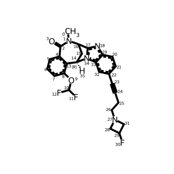 CN1C(=O)c2cccc(OC(F)F)c2[C@H]2CC1c1nc3ccc(C#CCCN4CC(F)C4)cc3n12